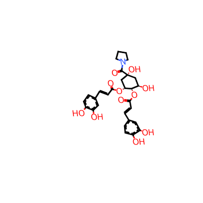 O=C(/C=C/c1ccc(O)c(O)c1)O[C@H]1[C@H](O)C[C@](O)(C(=O)N2CCCC2)C[C@H]1OC(=O)/C=C/c1ccc(O)c(O)c1